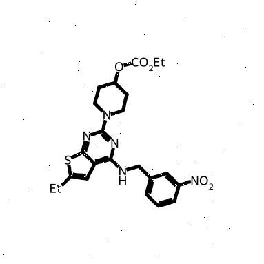 CCOC(=O)OC1CCN(c2nc(NCc3cccc([N+](=O)[O-])c3)c3cc(CC)sc3n2)CC1